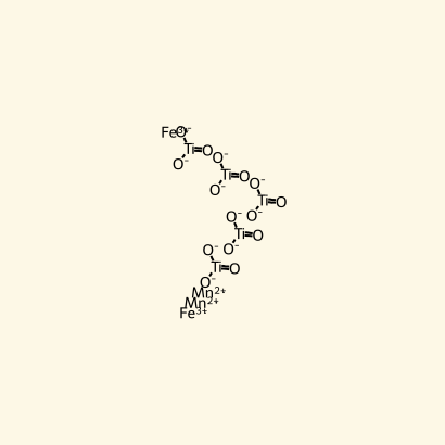 [Fe+3].[Fe+3].[Mn+2].[Mn+2].[O]=[Ti]([O-])[O-].[O]=[Ti]([O-])[O-].[O]=[Ti]([O-])[O-].[O]=[Ti]([O-])[O-].[O]=[Ti]([O-])[O-]